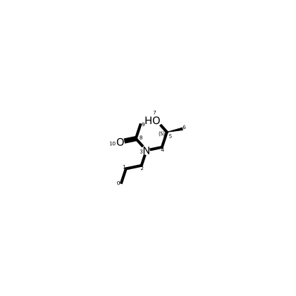 CCCN(C[C@H](C)O)C(C)=O